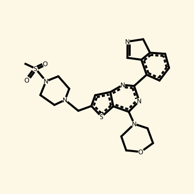 CS(=O)(=O)N1CCN(Cc2cc3nc(-c4cccc5c4C=NC5)nc(N4CCOCC4)c3s2)CC1